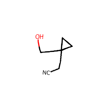 N#CCC1(CO)CC1